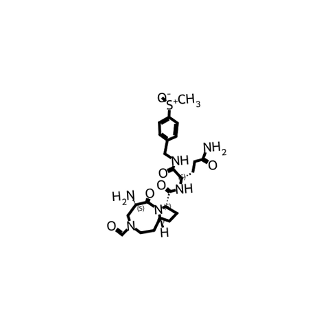 C[S+]([O-])c1ccc(CNC(=O)[C@H](CCC(N)=O)NC(=O)[C@@H]2CC[C@@H]3CCN(C=O)C[C@H](N)C(=O)N32)cc1